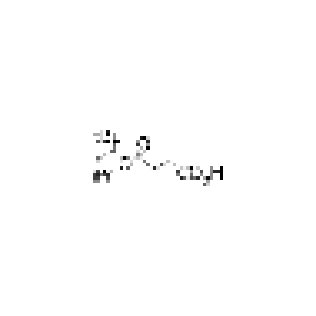 CC(C)CC(OC(=O)CCC(=O)O)C(C)(C)C